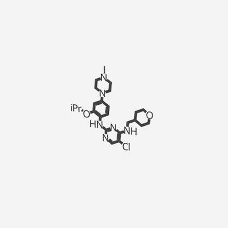 CC(C)Oc1cc(N2CCN(I)CC2)ccc1Nc1ncc(Cl)c(NCC2CCOCC2)n1